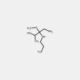 COC(CN)(NCCN)C(C)O